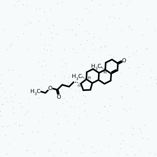 CCOC(=O)CCC[C@H]1CCC2C3CCC4=CC(=O)CC[C@]4(C)C3CC[C@@]21C